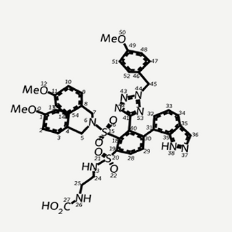 COc1ccc(CN(Cc2ccc(OC)cc2)S(=O)(=O)c2c(S(=O)(=O)NCCNC(=O)O)ccc(-c3cccc4cn[nH]c34)c2-c2nnn(Cc3ccc(OC)cc3)n2)cc1